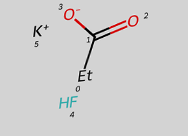 CCC(=O)[O-].F.[K+]